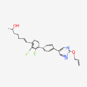 C=CCOc1ncc(-c2ccc(-c3ccc(C=CCCCC(C)O)c(F)c3F)cc2)cn1